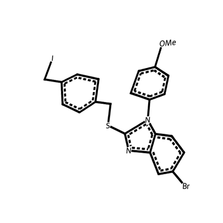 COc1ccc(-n2c(SCc3ccc(CI)cc3)nc3cc(Br)ccc32)cc1